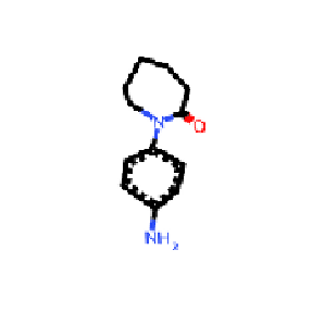 Nc1ccc(N2CCCCCC2=O)cc1